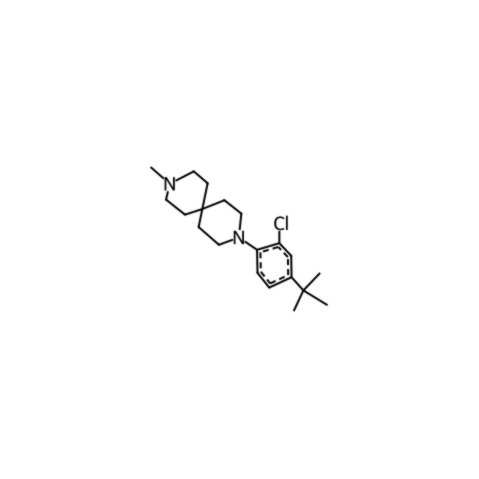 CN1CCC2(CC1)CCN(c1ccc(C(C)(C)C)cc1Cl)CC2